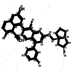 C#Cc1c(F)ccc2cc(O)cc(-c3ncc4c(-c5cncc(F)c5)nc(OC[C@@]56CCCN5C[C@H](F)C6)nc4c3F)c12